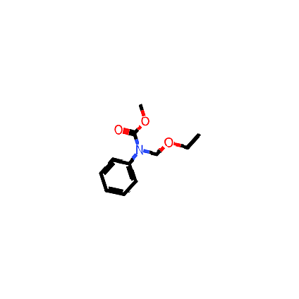 CCOCN(C(=O)OC)c1ccccc1